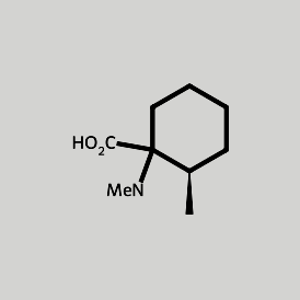 CNC1(C(=O)O)CCCC[C@H]1C